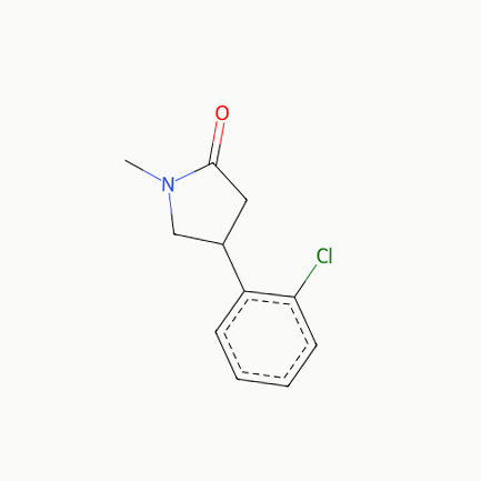 CN1CC(c2ccccc2Cl)CC1=O